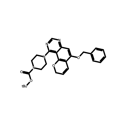 CC(C)(C)OC(=O)N1CCN(c2ncnc3cc(OCc4ccccc4)c4c(c23)OCC=C4)CC1